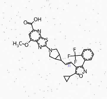 COc1cc(C(=O)O)nc2sc(N3CC4C(/C=C/c5c(-c6ccccc6C(F)(F)F)noc5C5CC5)C4C3)nc12